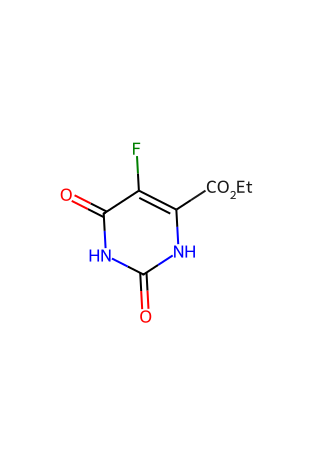 CCOC(=O)c1[nH]c(=O)[nH]c(=O)c1F